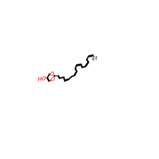 CC/C=C\C/C=C\C/C=C\C/C=C\C/C=C\CCC[C@H]1OC[C@H](O)CO1